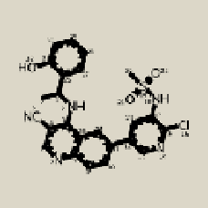 CC(Nc1c(C#N)cnc2ccc(-c3cnc(Cl)c(NS(C)(=O)=O)c3)cc12)c1ccccc1O